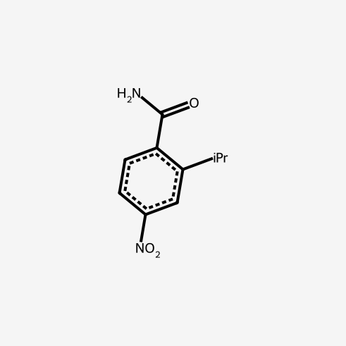 CC(C)c1cc([N+](=O)[O-])ccc1C(N)=O